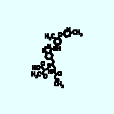 COCC(=O)NCC(=Cc1ccc2ncnc(Nc3ccc(Oc4ccc(C)nc4)c(C)c3)c2c1)SCC(C(C)=O)C(=O)O